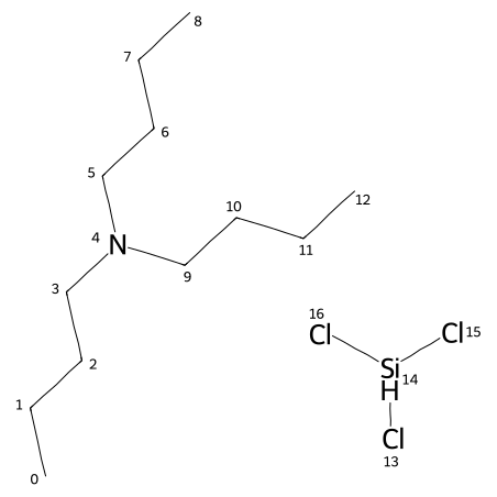 CCCCN(CCCC)CCCC.Cl[SiH](Cl)Cl